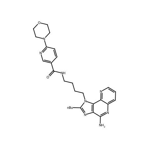 CCCCc1nc2c(N)nc3cccnc3c2n1CCCCNC(=O)c1ccc(N2CCOCC2)nc1